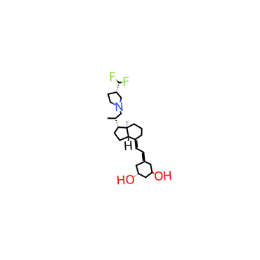 CC(CN1CC[C@H](C(F)F)C1)[C@H]1CC[C@H]2/C(=C/C=C3C[C@@H](O)C[C@H](O)C3)CCC[C@]12C